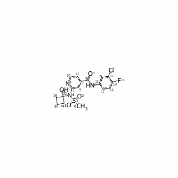 CS(=O)(=O)N(c1cc(C(=O)Nc2ccc(F)c(Cl)c2)ccn1)C1(O)CCC1